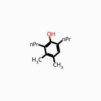 CCCc1cc(C)c(C)c(CCC)c1O